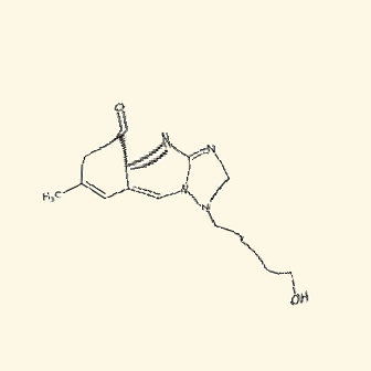 CC1=CC2=CN3C(=NCN3CCCCO)N=C2C(=O)C1